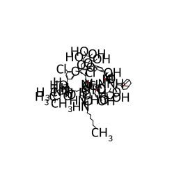 CCCCCCCCNC(=O)NC(=O)C[C@@H]1CC(=O)[C@H](NC(=O)[C@@H](CC(C)C)NC)[C@H](O)c2ccc(c(Cl)c2)Oc2cc3cc(c2OC2OC(CO)C(O)C(O)C2O)Oc2ccc(cc2Cl)[C@@H](O)[C@@H]2NC(=O)[C@H](CC(=O)[C@@H]3NC1=O)c1ccc(O)c(c1)-c1c(O)cc(O)cc1[C@@H](C(=O)CC1C3CC4CC(C3)CC1C4)NC2=O